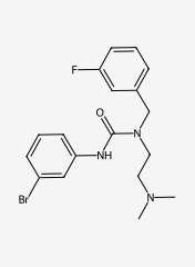 CN(C)CCN(Cc1cccc(F)c1)C(=O)Nc1cccc(Br)c1